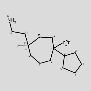 CCCC1(C2CCCC2)CCC[C@@](C)(CCN)CC1